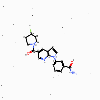 NC(=O)c1cccc(-n2ccc3cc(C(=O)N4CCC(F)CC4)cnc32)c1